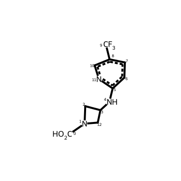 O=C(O)N1CC(Nc2ccc(C(F)(F)F)cn2)C1